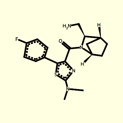 CN(C)c1nc(C(=O)N2[C@H]3CC[C@H](C3)[C@@H]2CN)c(-c2ccc(F)cc2)s1